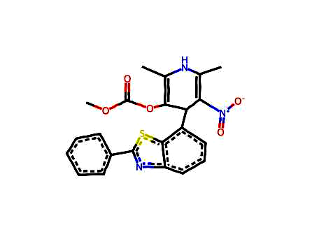 COC(=O)OC1=C(C)NC(C)=C([N+](=O)[O-])C1c1cccc2nc(-c3ccccc3)sc12